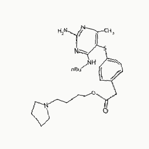 CCCCNc1nc(N)nc(C)c1Sc1ccc(CC(=O)OCCCCN2CCCC2)cc1